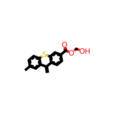 C=C1c2ccc(C(=O)OCO)cc2Sc2ccc(C)cc21